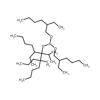 CCCCC(CC)CO[Si](OCC(CC)CCCC)OC(C(C)C)(C(CC)CCCC)C(C)(CCC)CCCC